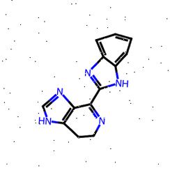 c1ccc2[nH]c(C3=NCCc4[nH]cnc43)nc2c1